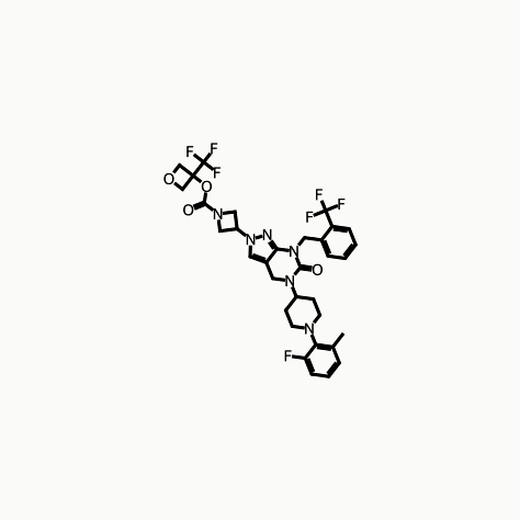 Cc1cccc(F)c1N1CCC(N2Cc3cn(C4CN(C(=O)OC5(C(F)(F)F)COC5)C4)nc3N(Cc3ccccc3C(F)(F)F)C2=O)CC1